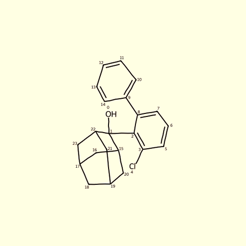 OC1(c2c(Cl)cccc2-c2ccccc2)C2CC3CC(C2)CC1C3